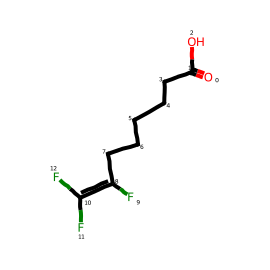 O=C(O)CCCCCC(F)=C(F)F